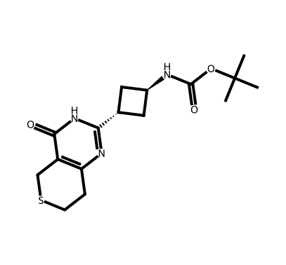 CC(C)(C)OC(=O)N[C@H]1C[C@H](c2nc3c(c(=O)[nH]2)CSCC3)C1